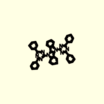 c1ccc(-c2nc(-c3ccccc3)nc(-n3c4ccccc4c4c3c3ccccc3n4-c3nc(-c4ccccc4)nc(-c4ccccc4)n3)n2)cc1